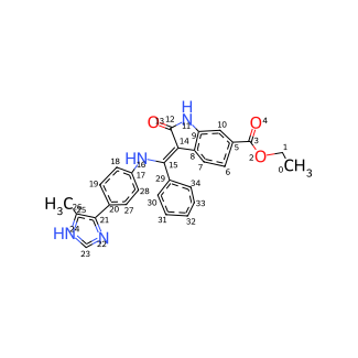 CCOC(=O)c1ccc2c(c1)NC(=O)/C2=C(\Nc1ccc(-c2nc[nH]c2C)cc1)c1ccccc1